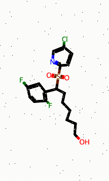 O=S(=O)(c1ccc(Cl)cn1)C(CCCCCCO)c1cc(F)ccc1F